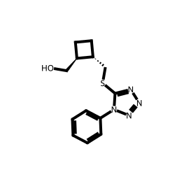 OC[C@H]1CC[C@@H]1CSc1nnnn1-c1ccccc1